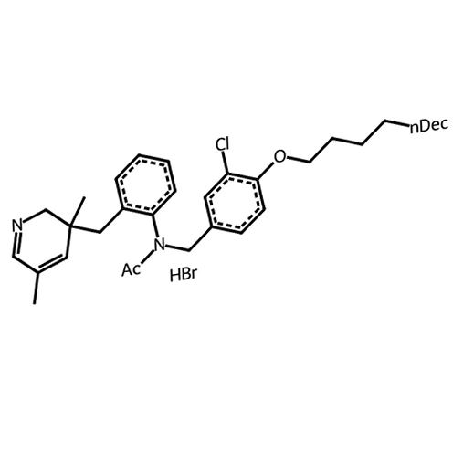 Br.CCCCCCCCCCCCCCOc1ccc(CN(C(C)=O)c2ccccc2CC2(C)C=C(C)C=NC2)cc1Cl